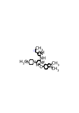 C/C=C\c1cc(Nc2cc(N3CCN(C)CC3)nc(Oc3ccc4c(cc(C)n4C)c3F)n2)n[nH]1